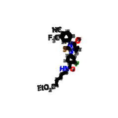 CCOC(=O)CCCCCNC(=O)c1ccc(N2C(=S)N(c3ccc(C#N)c(C(F)(F)F)c3)C(=O)C2(C)C)cc1F